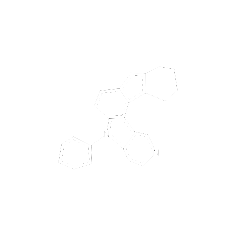 c1ccc(-n2c3ccncc3c3c4c5c(sc4ccc32)CCCC5)cc1